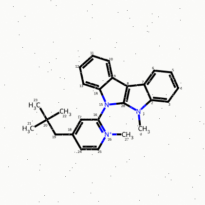 Cn1c2ccccc2c2c3ccccc3n(-c3cc(CC(C)(C)C)cc[n+]3C)c21